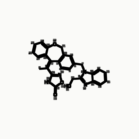 CC(=C1c2ccc(Cn3c(CO)nc4ccccc43)cc2COc2ccccc21)c1noc(=O)[nH]1